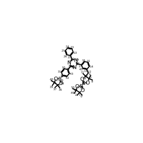 CC1(C)OB(B2OC(C)(C)C(C)(Cc3cccc(-c4nc(-c5ccccc5)nc(-c5ccc(B6OC(C)(C)C(C)(C)O6)cc5)n4)c3)O2)OC1(C)C